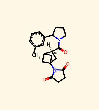 Cc1cccc(C2CCCN2C(=O)[C@H]2CC3(N4C(=O)CCC4=O)CC2C3)c1